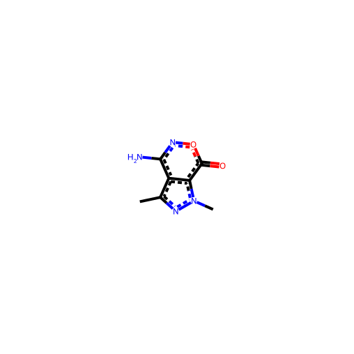 Cc1nn(C)c2c(=O)onc(N)c12